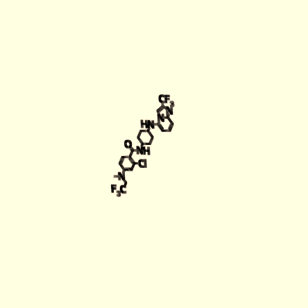 CN(CC(F)(F)F)c1ccc(C(=O)NC2CCC(Nc3cccc4nc(C(F)(F)F)cn34)CC2)c(Cl)c1